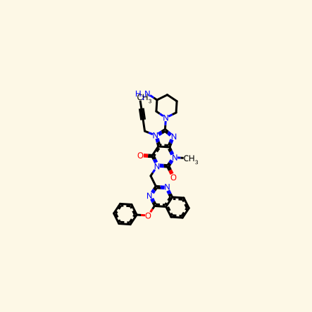 CC#CCn1c(N2CCCC(N)C2)nc2c1c(=O)n(Cc1nc(Oc3ccccc3)c3ccccc3n1)c(=O)n2C